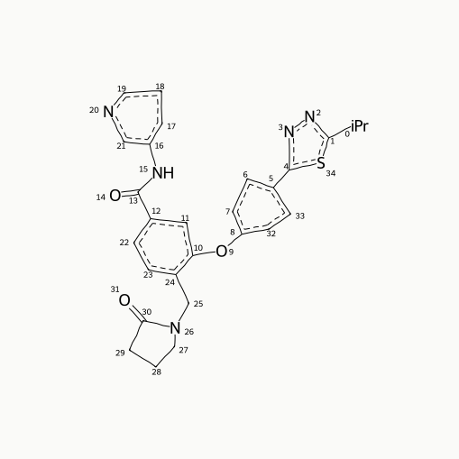 CC(C)c1nnc(-c2ccc(Oc3cc(C(=O)Nc4cccnc4)ccc3CN3CCCC3=O)cc2)s1